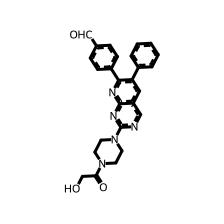 O=Cc1ccc(-c2nc3nc(N4CCN(C(=O)CO)CC4)ncc3cc2-c2ccccc2)cc1